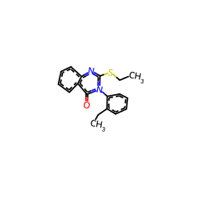 CCSc1nc2ccccc2c(=O)n1-c1ccccc1CC